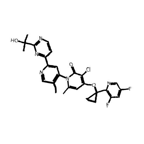 Cc1cnc(-c2ccnc(C(C)(C)O)n2)cc1-n1c(C)cc(OC2(c3ncc(F)cc3F)CC2)c(Cl)c1=O